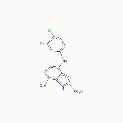 CCOC(=O)c1cc2c(Nc3ccc(Cl)c(F)c3)ccc([N+](=O)[O-])c2[nH]1